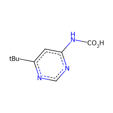 CC(C)(C)c1cc(NC(=O)O)ncn1